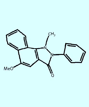 COc1cc2c(=O)n(-c3ccccc3)n(C)c2c2ccccc12